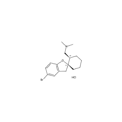 CN(C)C[C@H]1CCCC[C@]12Cc1cc(Br)ccc1O2.Cl